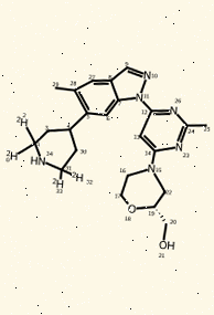 [2H]C1([2H])CC(c2cc3c(cnn3-c3cc(N4CCO[C@@H](CO)C4)nc(C)n3)cc2C)CC([2H])([2H])N1